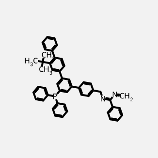 C=N/C(=N\Cc1ccc(-c2cc(-c3ccc(-c4ccccc4)c(C(C)(C)C)c3)cc(P(c3ccccc3)c3ccccc3)c2)cc1)c1ccccc1